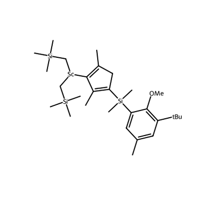 COc1c(C(C)(C)C)cc(C)cc1[Si](C)(C)C1=C(C)[C]([Sc]([CH2][Si](C)(C)C)[CH2][Si](C)(C)C)=C(C)C1